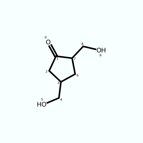 O=C1CC(CO)CC1CO